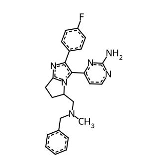 CN(Cc1ccccc1)CC1CCc2nc(-c3ccc(F)cc3)c(-c3ccnc(N)n3)n21